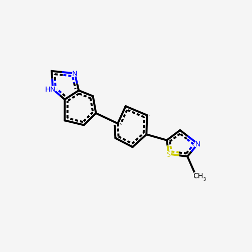 Cc1ncc(-c2[c]cc(-c3ccc4[nH]cnc4c3)cc2)s1